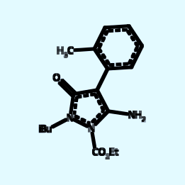 CCOC(=O)n1c(N)c(-c2ccccc2C)c(=O)n1C(C)CC